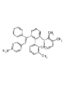 Cc1cccc(-c2cccc(C(=Cc3ccc(N)cc3)c3ccccc3)c2-c2cccc(C)c2C)c1C